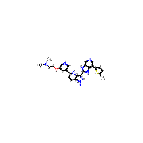 Cc1ccc(-c2cncc3[nH]c(-c4n[nH]c5ccc(-c6cncc(OCCN(C)C)c6)nc45)nc23)s1